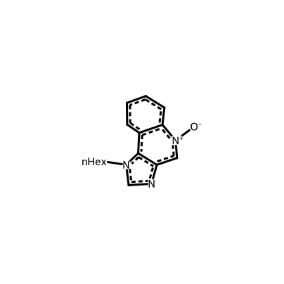 CCCCCCn1cnc2c[n+]([O-])c3ccccc3c21